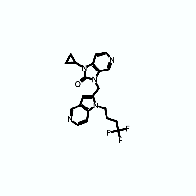 O=c1n(Cc2cc3cnccc3n2CCCC(F)(F)F)c2cnccc2n1C1CC1